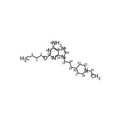 CCCCOc1nc(N)c2ncn(CCCC3CCN(CC)CC3)c2n1